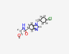 COC[C@H](C)NC(=O)c1ccc2c(c1)ncn2Cc1ccc(Cl)cc1